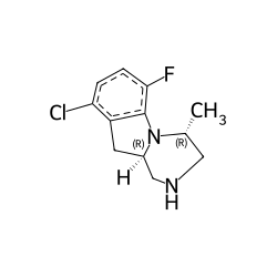 C[C@@H]1CNC[C@H]2Cc3c(Cl)ccc(F)c3N21